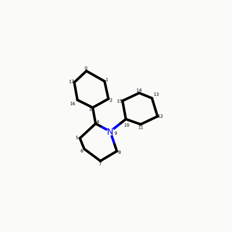 C1CCC(C2CCCCN2C2CCCCC2)CC1